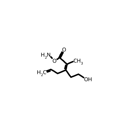 C=CCC(CCO)=C(C)C(=O)ON